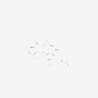 Cc1cc(C(C)Nc2ccccc2C(=O)O)c2oc(N3CC[C@@H](F)C3)cc(=O)c2c1.O=C(O)C(F)(F)F